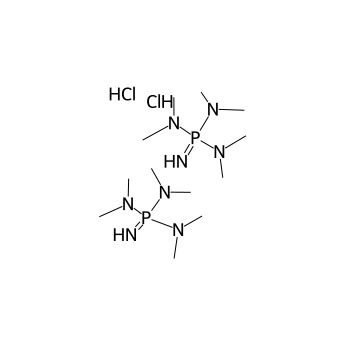 CN(C)P(=N)(N(C)C)N(C)C.CN(C)P(=N)(N(C)C)N(C)C.Cl.Cl